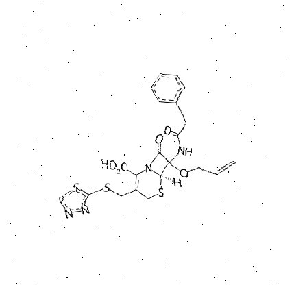 C=CCOC1(NC(=O)Cc2ccccc2)C(=O)N2C(C(=O)O)=C(CSc3nncs3)CS[C@@H]21